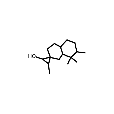 CC1CCC2CCC3(CC2C1(C)C)C(C)C3O